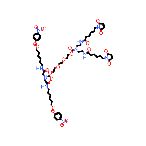 O=C(CCCCCN1C(=O)C=CC1=O)NCCN(CCNC(=O)CCCCCN1C(=O)C=CC1=O)C(=O)OCCOCCOCCOC(=O)N(CC(=O)NCCCCCCOOc1ccc([N+](=O)[O-])cc1)CC(=O)NCCCCCCOOc1ccc([N+](=O)[O-])cc1